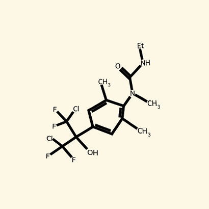 CCNC(=O)N(C)c1c(C)cc(C(O)(C(F)(F)Cl)C(F)(F)Cl)cc1C